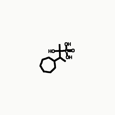 CC(C1CCCCCC1)C(C)(O)P(=O)(O)O